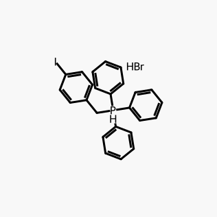 Br.Ic1ccc(C[PH](c2ccccc2)(c2ccccc2)c2ccccc2)cc1